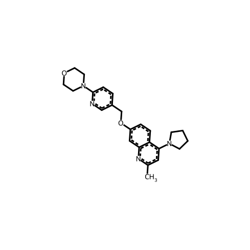 Cc1cc(N2CCCC2)c2ccc(OCc3ccc(N4CCOCC4)nc3)cc2n1